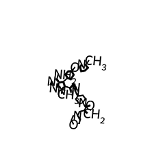 C=C(CN1CCOCC1)C(=O)N1CCC(n2cc(-c3c(-c4ccc(Oc5cccc(C)n5)cc4)c4c(N)ncnc4n3C)cn2)CC1